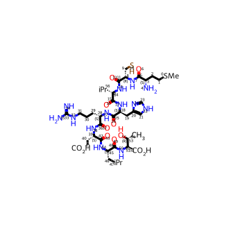 CSCC[C@H](N)C(=O)N[C@@H](CS)C(=O)N[C@H](C(=O)N[C@@H](Cc1c[nH]cn1)C(=O)N[C@@H](CCCNC(=N)N)C(=O)N[C@@H](CC(=O)O)C(=O)N[C@@H](CC(C)C)C(=O)N[C@H](C(=O)O)[C@@H](C)O)C(C)C